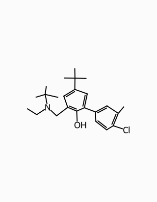 CCN(Cc1cc(C(C)(C)C)cc(-c2ccc(Cl)c(C)c2)c1O)C(C)(C)C